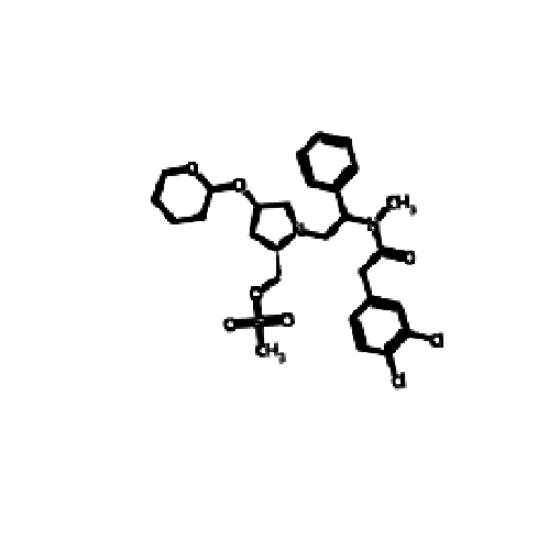 CN(C(=O)Cc1ccc(Cl)c(Cl)c1)C(CN1C[C@H](OC2CCCCO2)C[C@H]1COS(C)(=O)=O)c1ccccc1